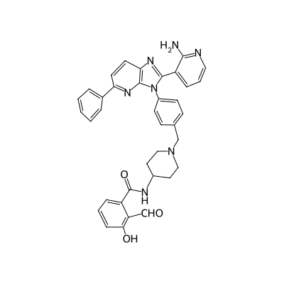 Nc1ncccc1-c1nc2ccc(-c3ccccc3)nc2n1-c1ccc(CN2CCC(NC(=O)c3cccc(O)c3C=O)CC2)cc1